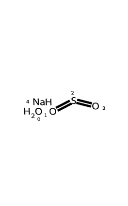 O.O=S=O.[NaH]